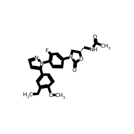 CCc1cc(-c2ccnn2-c2ccc(N3C[C@H](CNC(C)=O)OC3=O)cc2F)ccc1OC